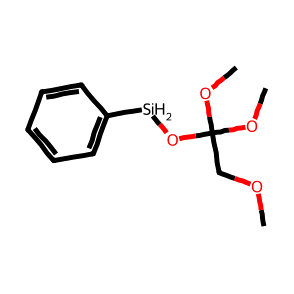 COCC(OC)(OC)O[SiH2]c1ccccc1